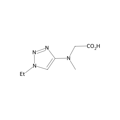 CCn1cc(N(C)CC(=O)O)nn1